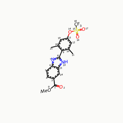 COC(=O)c1ccc2nc(-c3c(C)cc(OS(=O)(=O)C(F)(F)F)cc3C)[nH]c2c1